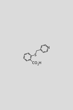 O=C(O)c1ccccc1SCc1ccncc1